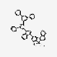 CC1(C)c2ccc(-c3ccc(-c4cc(-c5cc(-c6ccccc6)cc(-c6ccccc6)c5)nc(-c5ccccc5)n4)c4ccccc34)cc2-c2c1ccc1ccccc21